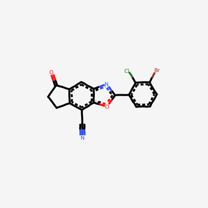 N#Cc1c2c(cc3nc(-c4cccc(Br)c4Cl)oc13)C(=O)CC2